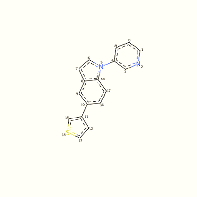 c1cncc(-n2ccc3cc(-c4ccsc4)ccc32)c1